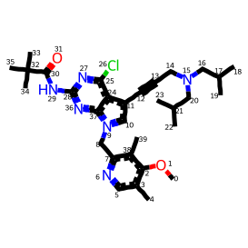 COc1c(C)cnc(Cn2cc(C#CCN(CC(C)C)CC(C)C)c3c(Cl)nc(NC(=O)C(C)(C)C)nc32)c1C